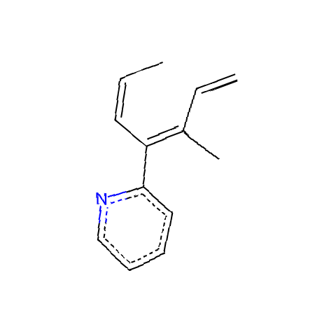 C=C/C(C)=C(\C=C/C)c1ccccn1